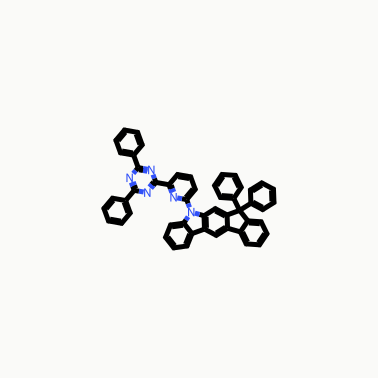 c1ccc(-c2nc(-c3ccccc3)nc(-c3cccc(-n4c5ccccc5c5cc6c(cc54)C(c4ccccc4)(c4ccccc4)c4ccccc4-6)n3)n2)cc1